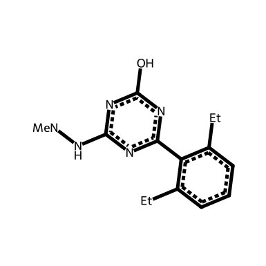 CCc1cccc(CC)c1-c1nc(O)nc(NNC)n1